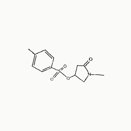 Cc1ccc(S(=O)(=O)OC2CC(=O)N(C)C2)cc1